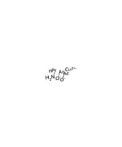 CC(=O)[O-].CC(=O)[O-].CCCN.[Cu+2]